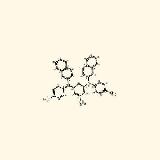 CC1=CC[C@@H](N(c2ccc3ccccc3c2)[C@@H]2C=C(C)C=C(N(c3ccc(C)cc3)c3ccc4ccccc4c3)C2)C=C1